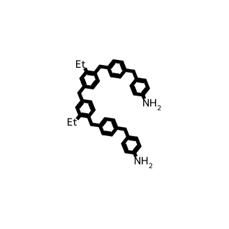 CCc1cc(Cc2ccc(Cc3ccc(Cc4ccc(N)cc4)cc3)c(CC)c2)ccc1Cc1ccc(Cc2ccc(N)cc2)cc1